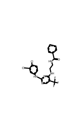 O=C(NCCNc1nc(Nc2ccc(Cl)c(Cl)c2)ncc1C(F)(F)F)c1ccccc1